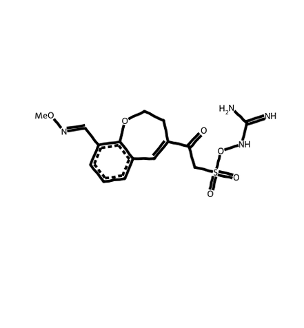 CON=Cc1cccc2c1OCCC(C(=O)CS(=O)(=O)ONC(=N)N)=C2